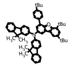 CC(C)(C)c1ccc(-c2cc(N(c3ccc4c(c3)C(C)(C)c3ccccc3-4)c3ccc4c(c3)C(C)(C)c3ccccc3-4)cc3c2oc2c(C(C)(C)C)cc(C(C)(C)C)cc23)cc1